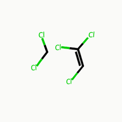 ClC=C(Cl)Cl.ClCCl